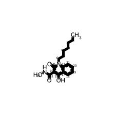 CCCCCCCn1c(=O)c(C(=O)NO)c(O)c2ccccc21